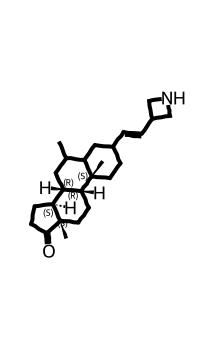 CC1C[C@@H]2[C@@H](CC[C@]3(C)C(=O)CC[C@@H]23)[C@@]2(C)CCC(C=CC3CNC3)CC12